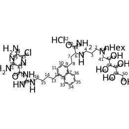 CCCCCCN(CCCNC(CCc1ccc(CCCCNC(=N)NC(=O)c2nc(Cl)c(N)nc2N)c2ccccc12)C(N)=O)CC(O)C(O)C(O)C(O)CO.Cl